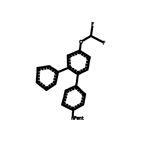 CCCCCc1ccc(-c2ccc(OC(F)F)cc2-c2ccccc2)cc1